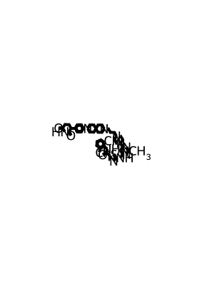 Cc1nc(Nc2ncc(C(=O)Nc3c(C)cccc3Cl)s2)cc(N2CCN(CCCN3CCC4(CC3)CCN(c3ccc(C5CCC(=O)NC5=O)cc3)CC4)CC2)n1